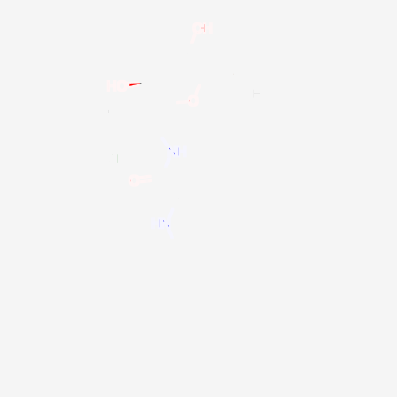 CSC1OC(C(NC(=O)C2CCC(CCCC3CCCCC3)CCN2)C(C)Cl)[C@@H](O)CC1O